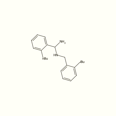 CCCCc1ccccc1C(N)NCc1ccccc1C(C)CC